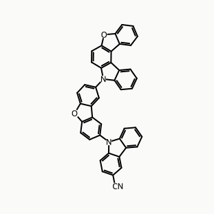 N#Cc1ccc2c(c1)c1ccccc1n2-c1ccc2oc3ccc(-n4c5ccccc5c5c6c(ccc54)oc4ccccc46)cc3c2c1